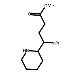 CCCC(CCC(=O)OC)C1CCCCN1